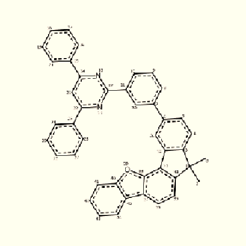 CC1(C)c2ccc(-c3cccc(-c4nc(-c5ccccc5)cc(-c5ccccc5)n4)c3)cc2-c2c1ccc1c2oc2ccccc21